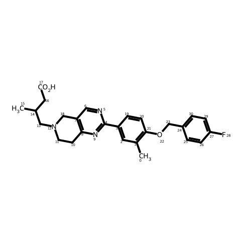 Cc1cc(-c2ncc3c(n2)CCN(CC(C)CC(=O)O)C3)ccc1OCc1ccc(F)cc1